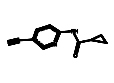 C#Cc1ccc(NC(=O)C2CC2)nc1